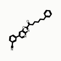 N#Cc1cccc(-c2cnc3nc(C(=O)CCCCCc4ccccc4)oc3c2)c1